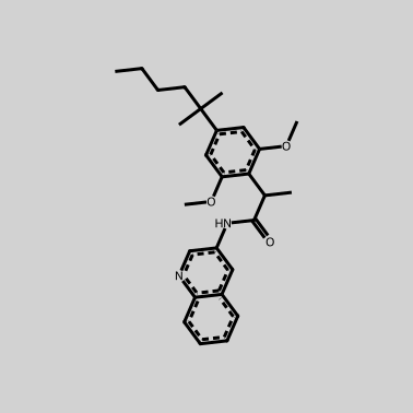 CCCCC(C)(C)c1cc(OC)c(C(C)C(=O)Nc2cnc3ccccc3c2)c(OC)c1